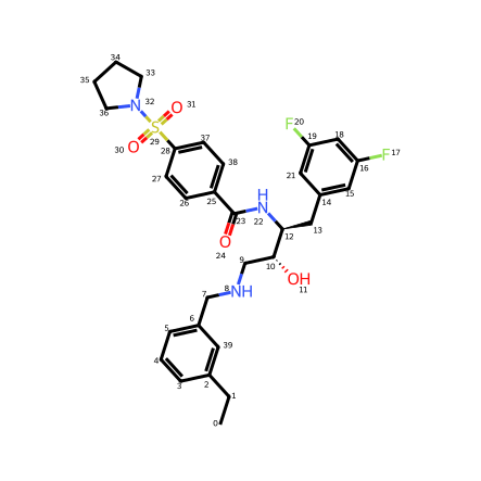 CCc1cccc(CNC[C@@H](O)[C@H](Cc2cc(F)cc(F)c2)NC(=O)c2ccc(S(=O)(=O)N3CCCC3)cc2)c1